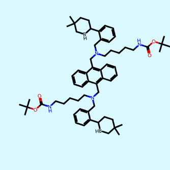 CC1(C)CBC(c2ccccc2CN(CCCCCNC(=O)OC(C)(C)C)Cc2c3ccccc3c(CN(CCCCCNC(=O)OC(C)(C)C)Cc3ccccc3C3BCC(C)(C)CC3)c3ccccc23)CC1